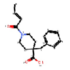 CC=CC(=O)N1CCC(Cc2ccccc2)(C(=O)O)CC1